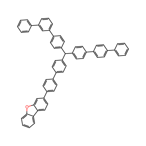 c1ccc(-c2ccc(-c3ccc(C(c4ccc(-c5ccc(-c6ccc7c(c6)oc6ccccc67)cc5)cc4)c4ccc(-c5cccc(-c6ccccc6)c5)cc4)cc3)cc2)cc1